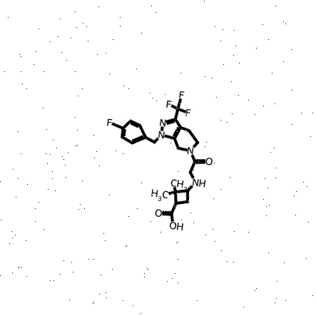 CC1(C)C(NCC(=O)N2CCc3c(C(F)(F)F)nn(Cc4ccc(F)cc4)c3C2)CC1C(=O)O